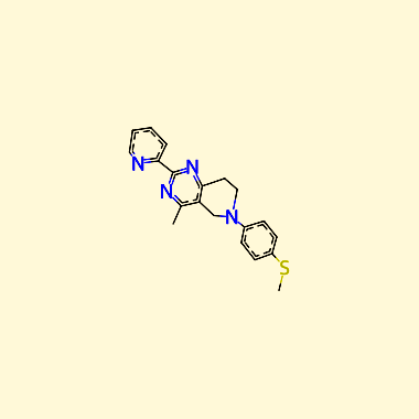 CSc1ccc(N2CCc3nc(-c4ccccn4)nc(C)c3C2)cc1